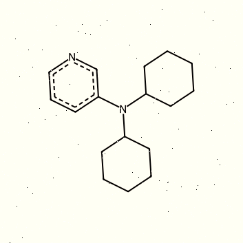 c1cncc(N(C2CCCCC2)C2CCCCC2)c1